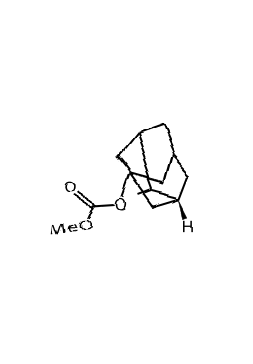 COC(=O)OC12CC3CC(C1)C(C)[C@H](C3)C2